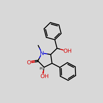 CN1C(=O)[C@H](O)C(c2ccccc2)C1C(O)c1ccccc1